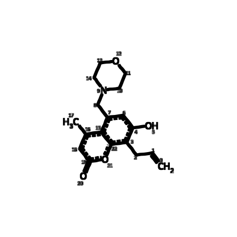 C=CCc1c(O)cc(CN2CCOCC2)c2c(C)cc(=O)oc12